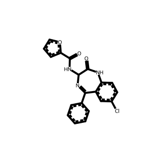 O=C(NC1N=C(c2ccccc2)c2cc(Cl)ccc2NC1=O)c1ccco1